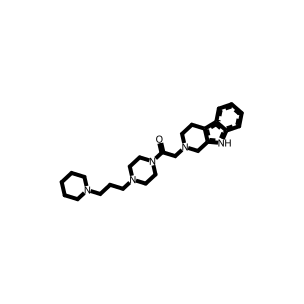 O=C(CN1CCc2c([nH]c3ccccc23)C1)N1CCN(CCCN2CCCCC2)CC1